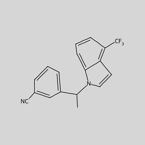 CC(c1cccc(C#N)c1)n1ccc2c(C(F)(F)F)cccc21